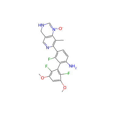 COc1cc(OC)c(F)c(-c2c(N)ccc(-c3ncc4c(c3C)[N+]([O-])=CNC4)c2F)c1F